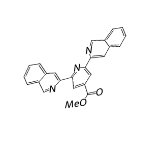 COC(=O)c1cc(-c2cc3ccccc3cn2)nc(-c2cc3ccccc3cn2)c1